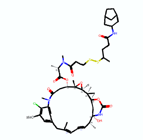 COc1cc2cc(c1Cl)N(C)C(=O)C[C@H](OC(=O)[C@H](C)N(C)C(=O)CCSSC(C)CCC(=O)NC1CC3CCC(C3)C1)[C@]1(C)O[C@H]1[C@@]1(C)C[C@]13C[C@@](O)(NC(=O)O3)[C@H](C)/C=C/C=C(\C)C2